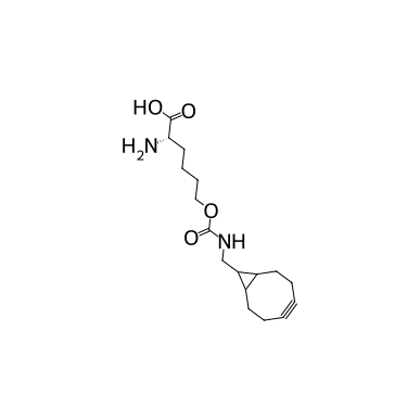 N[C@@H](CCCCOC(=O)NCC1C2CCC#CCCC21)C(=O)O